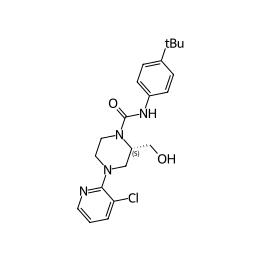 CC(C)(C)c1ccc(NC(=O)N2CCN(c3ncccc3Cl)C[C@H]2CO)cc1